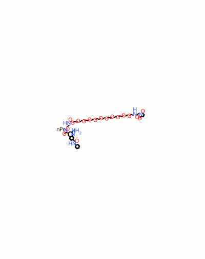 CCCN(OCCNC(=O)OCCOCCOCCOCCOCCOCCOCCOCCOCCOCCOCCNC(=O)CN1C(=O)C=CC1=O)C(=O)C1=Cc2ccc(C(=O)Nc3ccccc3)cc2N=C(N)C1